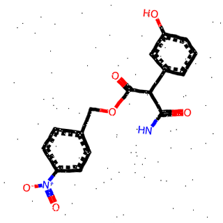 [NH]C(=O)C(C(=O)OCc1ccc([N+](=O)[O-])cc1)c1cccc(O)c1